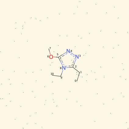 CCc1nnc(OC)n1CC